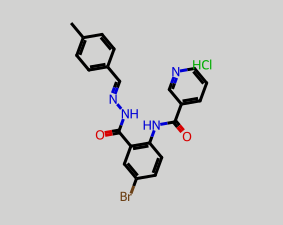 Cc1ccc(C=NNC(=O)c2cc(Br)ccc2NC(=O)c2cccnc2)cc1.Cl